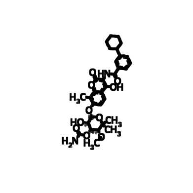 CO[C@@H]1[C@@H](OC(N)=O)[C@@H](O)[C@H](Oc2ccc3c(O)c(NC(=O)c4cccc(C5CCCCC5)c4)c(=O)oc3c2C)OC1(C)C